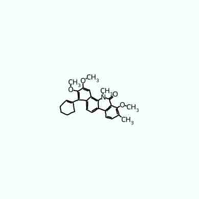 COc1cc2c(ccc3c4ccc(C)c(OC)c4c(=O)n(C)c23)c(C2=CCCCC2)c1OC